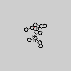 c1ccc(-c2cccc(-c3cc(-c4nc(-c5ccccc5)nc(-c5ccc6ccccc6c5)n4)c4ccccc4c3-n3c4ccccc4c4cc5ccccc5cc43)c2)cc1